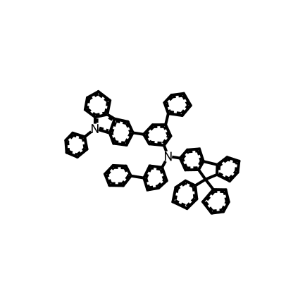 c1ccc(-c2cccc(N(c3cc(-c4ccccc4)cc(-c4ccc5c(c4)c4ccccc4n5-c4ccccc4)c3)c3ccc4c(c3)C(c3ccccc3)(c3ccccc3)c3ccccc3-4)c2)cc1